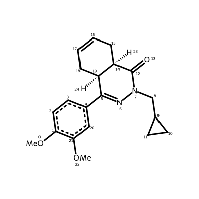 COc1ccc(C2=NN(CC3CC3)C(=O)[C@@H]3CC=CC[C@H]23)cc1OC